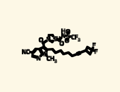 Cn1c(CCCCCCC#CC2CC(F)(F)C2)c(C(=O)N2CC[SH](C(=O)NS(=O)(=O)C(F)(F)F)C2)c2cc(C#N)cnc21